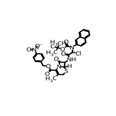 CC1=C(C(=O)OCc2ccc([N+](=O)[O-])cc2)N2C(=O)C(NC(=O)[C@H](Cl)N(C(=O)OC(C)(C)C)c3ccc4ccccc4c3)[C@@H]2SC1